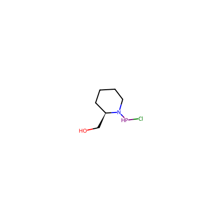 OC[C@H]1CCCCN1PCl